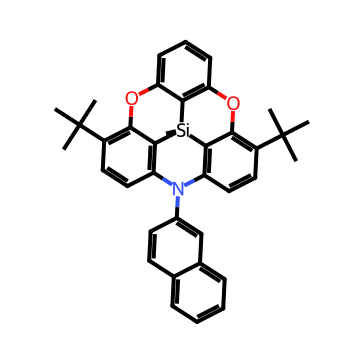 CC(C)(C)c1ccc2c3c1Oc1cccc4c1[Si]3(C)c1c(ccc(C(C)(C)C)c1O4)N2c1ccc2ccccc2c1